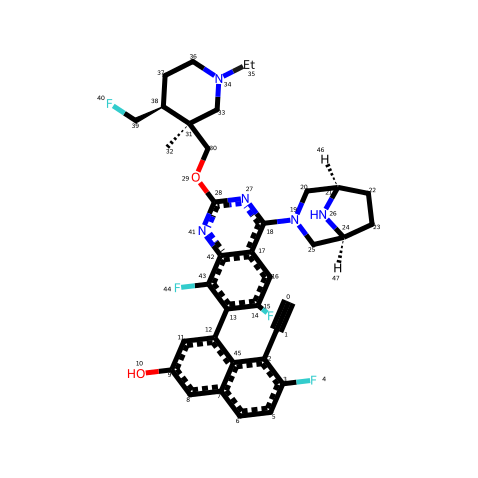 C#Cc1c(F)ccc2cc(O)cc(-c3c(F)cc4c(N5C[C@H]6CC[C@@H](C5)N6)nc(OC[C@]5(C)CN(CC)CC[C@@H]5CF)nc4c3F)c12